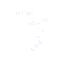 C=C(NCCNC)c1ccc(N=[N+]=[N-])cc1